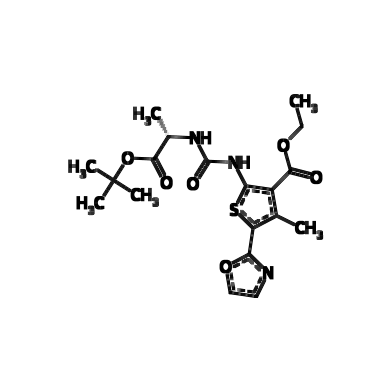 CCOC(=O)c1c(NC(=O)N[C@@H](C)C(=O)OC(C)(C)C)sc(-c2ncco2)c1C